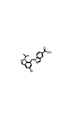 CC(C)n1ncc2cc(Br)cc(Cn3ncc4cc(C(=O)O)ccc43)c21